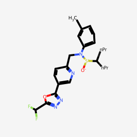 CCCC(CCC)[S+]([O-])N(Cc1ccc(-c2nnc(C(F)F)o2)cn1)c1cccc(C)c1